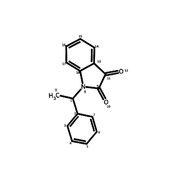 CC(c1ccccc1)N1C(=O)C(=O)c2ccccc21